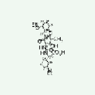 CCOc1cccc([C@H](CC(=O)O)NC(=O)Nc2c(O)c(C)cn(Cc3c(Cl)cccc3OCC)c2=O)c1